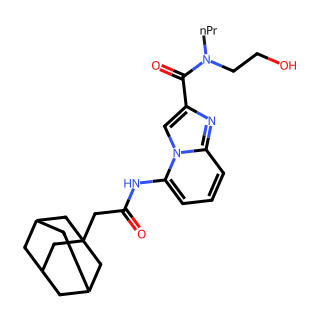 CCCN(CCO)C(=O)c1cn2c(NC(=O)CC34CC5CC(CC(C5)C3)C4)cccc2n1